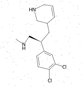 CNC[C@@H](CC1C=CCNC1)c1ccc(Cl)c(Cl)c1